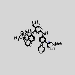 C=Cc1cnc(Nc2ccc(N3CCOCC3)c(/C(C=N)=C/NC)c2)nc1Nc1ccc2c(c1N(C)S(C)(=O)=O)OCCO2